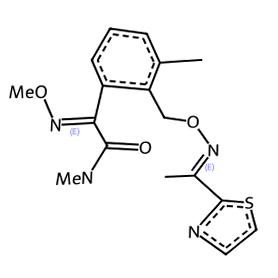 CNC(=O)/C(=N/OC)c1cccc(C)c1CO/N=C(\C)c1nccs1